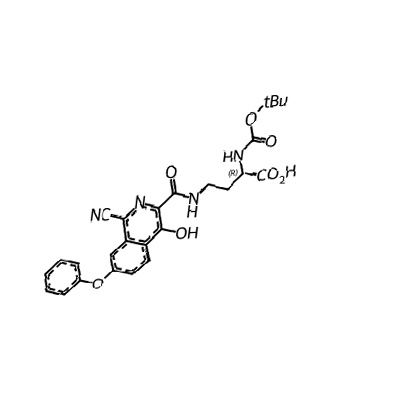 CC(C)(C)OC(=O)N[C@H](CCNC(=O)c1nc(C#N)c2cc(Oc3ccccc3)ccc2c1O)C(=O)O